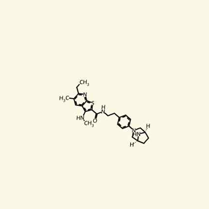 CCc1nc2sc(C(=O)NCCc3ccc(N4C[C@H]5CC[C@@H](C4)N5)cc3)c(NC)c2cc1C